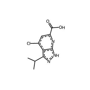 CC(C)c1n[nH]c2nc(C(=O)O)cc(Cl)c12